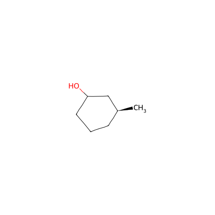 C[C@H]1CCCC(O)C1